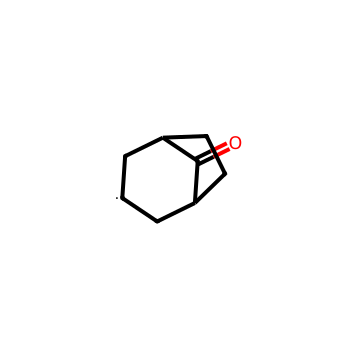 O=C1C2C[CH]CC1CC2